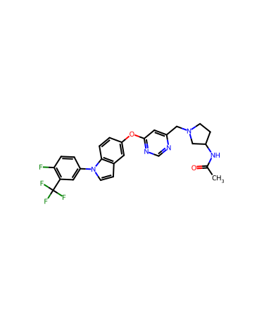 CC(=O)NC1CCN(Cc2cc(Oc3ccc4c(ccn4-c4ccc(F)c(C(F)(F)F)c4)c3)ncn2)C1